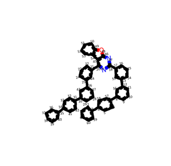 c1ccc(-c2ccc(-c3cccc(-c4cccc(-c5nc(-c6cccc(-c7cccc(-c8ccc(-c9ccccc9)cc8)c7)c6)c6c(n5)oc5ccccc56)c4)c3)cc2)cc1